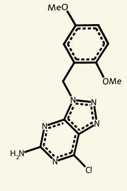 COc1ccc(OC)c(Cn2nnc3c(Cl)nc(N)nc32)c1